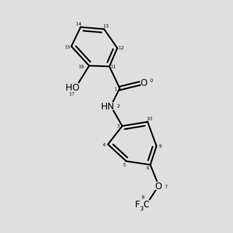 O=C(Nc1ccc(OC(F)(F)F)cc1)c1ccccc1O